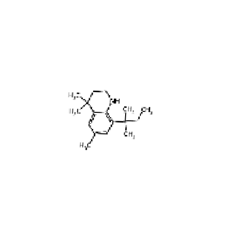 CCC(C)(C)c1cc(C)cc2c1NCCC2(C)C